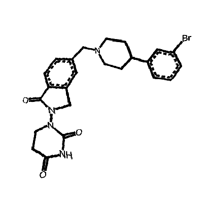 O=C1CCN(N2Cc3cc(CN4CCC(c5cccc(Br)c5)CC4)ccc3C2=O)C(=O)N1